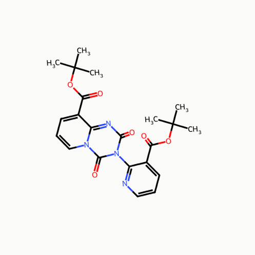 CC(C)(C)OC(=O)c1cccnc1-n1c(=O)nc2c(C(=O)OC(C)(C)C)cccn2c1=O